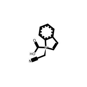 N#CC[N@+]1(C(=O)O)C=Cc2ccccc21